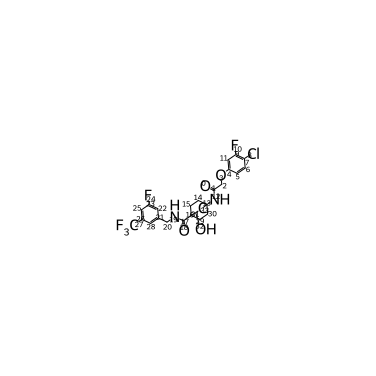 O=C(COc1ccc(Cl)c(F)c1)NC12CCC(C(=O)NCc3cc(F)cc(C(F)(F)F)c3)(CC1)C(O)C2